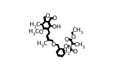 CCOC(=O)C(C)N(Oc1ccccc1COCC(C)=CCC1=C(OC)C(C)C2=COC(=O)C2=C1O)[PH2]=O